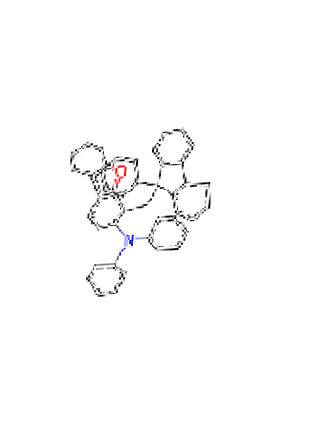 c1ccc(N(c2ccccc2)c2ccc3c(oc4ccccc43)c2CC2(c3ccccc3)c3ccccc3-c3ccccc32)cc1